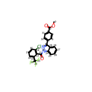 COC(=O)c1ccc(-c2nn(C(=O)c3c(Cl)cccc3C(F)(F)F)c3ccccc23)cc1